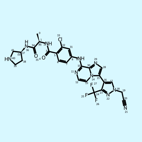 C[C@@H](NC(=O)c1ccc(Nc2nccn3c(-c4cn(CC#N)nc4C(F)(F)F)cnc23)cc1Cl)C(=O)N[C@H]1CCNC1